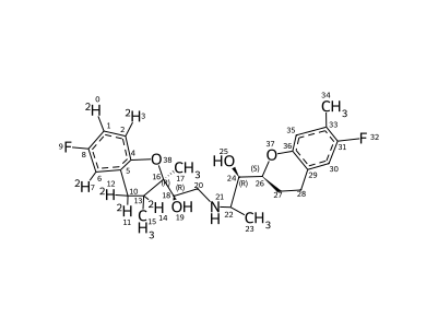 [2H]c1c([2H])c2c(c([2H])c1F)C([2H])([2H])C([2H])(C)[C@](C)([C@H](O)CNC(C)[C@@H](O)[C@@H]1CCc3cc(F)c(C)cc3O1)O2